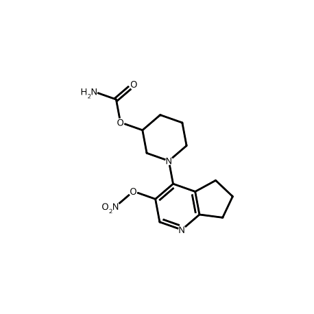 NC(=O)OC1CCCN(c2c(O[N+](=O)[O-])cnc3c2CCC3)C1